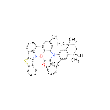 Cc1cc2c3c(c1)N(c1cc4c(cc1C)C(C)(C)CCC4(C)C)c1c(oc4ccccc14)B3n1c3c-2cccc3c2sc3ccccc3c21